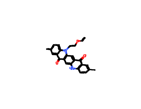 C=COCCn1c2ccc(C)cc2c(=O)c2cc3[nH]c4ccc(C)cc4c(=O)c3cc21